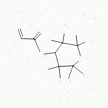 C=CC(=O)OC1C(F)(F)C(O)(C(F)(F)F)OC(CC)(C(F)(F)F)C1(F)F